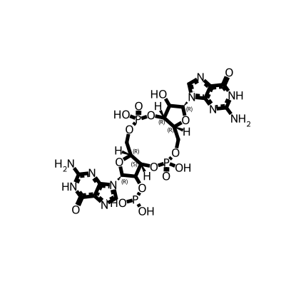 Nc1nc2c(ncn2[C@@H]2O[C@@H]3COP(=O)(O)O[C@@H]4C(OP(O)O)[C@H](n5cnc6c(=O)[nH]c(N)nc65)O[C@@H]4COP(=O)(O)O[C@@H]3C2O)c(=O)[nH]1